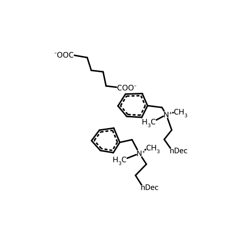 CCCCCCCCCCCC[N+](C)(C)Cc1ccccc1.CCCCCCCCCCCC[N+](C)(C)Cc1ccccc1.O=C([O-])CCCCC(=O)[O-]